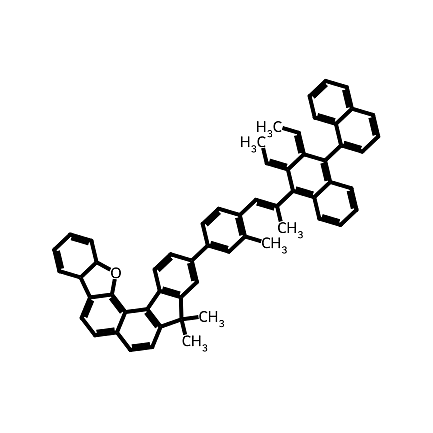 C/C=c1/c(/C(C)=C/c2ccc(-c3ccc4c(c3)C(C)(C)c3ccc5ccc6c(c5c3-4)OC3C=CC=CC63)cc2C)c2ccccc2c(-c2cccc3ccccc23)/c1=C/C